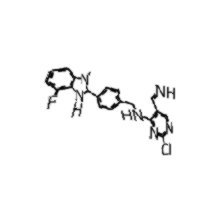 CN1c2cccc(F)c2NC1c1ccc(CNc2nc(Cl)ncc2C=N)cc1